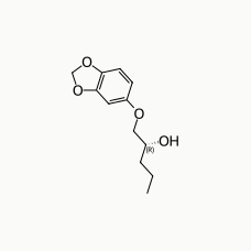 CCC[C@@H](O)COc1ccc2c(c1)OCO2